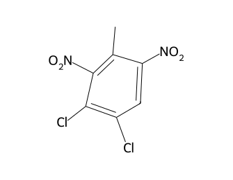 Cc1c([N+](=O)[O-])cc(Cl)c(Cl)c1[N+](=O)[O-]